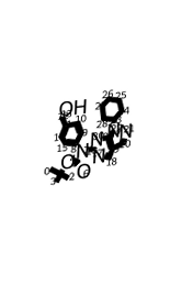 CC(C)(C)OC(=O)N(c1ccc(CO)cc1)c1ncc2cnn(C3CCCCC3)c2n1